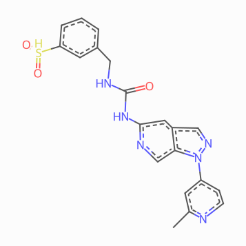 Cc1cc(-n2ncc3cc(NC(=O)NCc4cccc([SH](=O)=O)c4)ncc32)ccn1